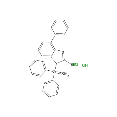 CCC1=Cc2c(-c3ccccc3)cccc2[CH]1[Zr](=[SiH2])([c]1ccccc1)[c]1ccccc1.Cl.Cl